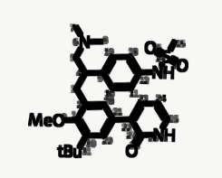 COc1c(CC(CN(C)C)c2ccc(NS(C)(=O)=O)cc2)cc(-c2ccc[nH]c2=O)cc1C(C)(C)C